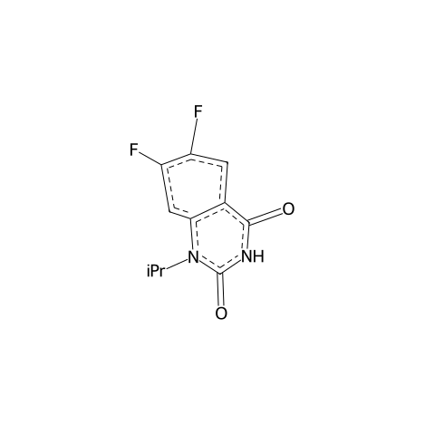 CC(C)n1c(=O)[nH]c(=O)c2cc(F)c(F)cc21